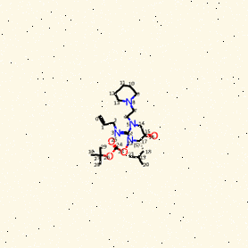 C=CCN=C1N(CCN2CCCCC2)CC(=O)[C@H](CC(C)C)N1OC(=O)OC(C)(C)C